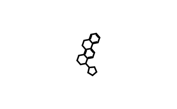 c1ccc2c(c1)CCc1c-2ccc2c1CCCC2C1CCCC1